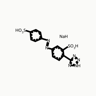 O=S(=O)(O)c1ccc(N=Nc2ccc(-c3nn[nH]n3)c(S(=O)(=O)O)c2)cc1.[NaH]